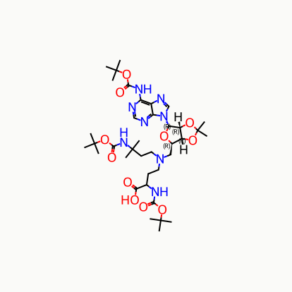 CC(C)(CCN(CCC(NC(=O)OC(C)(C)C)C(=O)O)C[C@H]1O[C@@H](n2cnc3c(NC(=O)OC(C)(C)C)ncnc32)[C@@H]2OC(C)(C)O[C@@H]21)NC(=O)OC(C)(C)C